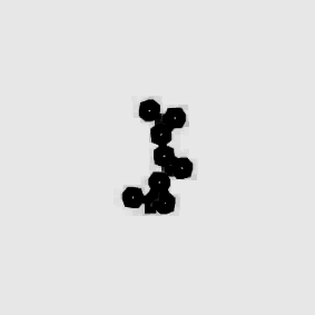 c1ccc(-c2nc3cccc4c5cc(-n6c7ccccc7c7cc(-c8ccc9c(c8)c8ccccc8n9-c8ccccc8)ccc76)ccc5c2n34)cc1